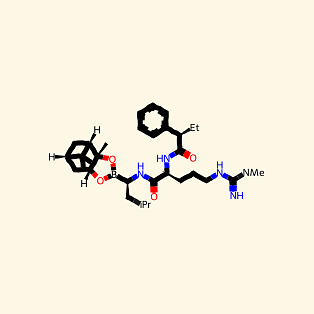 CC[C@@H](C(=O)N[C@@H](CCCNC(=N)NC)C(=O)N[C@@H](CC(C)C)B1O[C@@H]2C[C@@H]3C[C@@H](C3(C)C)[C@]2(C)O1)c1ccccc1